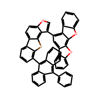 c1ccc(-c2c3ccccc3c(-c3cccc4c3sc3c4ccc4occ(-c5cc6c7ccccc7oc6c6oc7ccccc7c56)c43)c3ccccc23)cc1